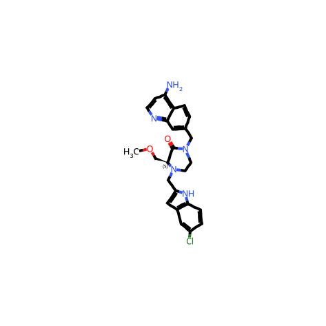 COC[C@H]1C(=O)N(Cc2ccc3c(N)ccnc3c2)CCN1Cc1cc2cc(Cl)ccc2[nH]1